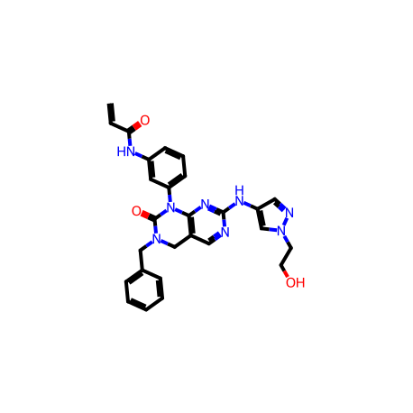 C=CC(=O)Nc1cccc(N2C(=O)N(Cc3ccccc3)Cc3cnc(Nc4cnn(CCO)c4)nc32)c1